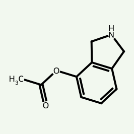 CC(=O)Oc1cccc2c1CNC2